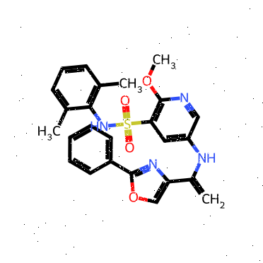 C=C(Nc1cnc(OC)c(S(=O)(=O)Nc2c(C)cccc2C)c1)c1coc(-c2ccccc2)n1